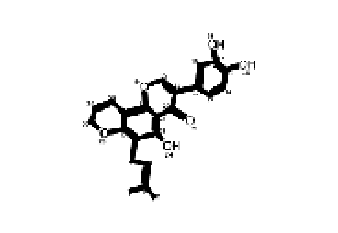 CC(C)=CCc1c2c(c3occ(-c4ccc(O)c(O)c4)c(=O)c3c1O)C=CCO2